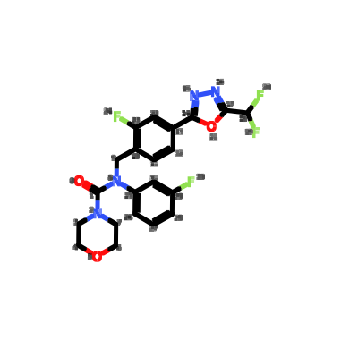 O=C(N1CCOCC1)N(Cc1ccc(-c2nnc(C(F)F)o2)cc1F)c1cccc(F)c1